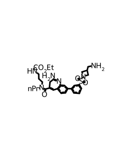 CCCN(CCCNC(=O)OCC)C(=O)C1=Cc2ccc(-c3cccc(S(=O)(=O)N4CC(CN)C4)c3)cc2N=C(N)C1